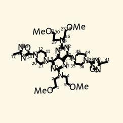 COCCN(CCOC)c1nc(N2CCN(c3nc(C)no3)CC2)c2nc(N(CCOC)CCOC)nc(N3CCN(c4nc(C)no4)CC3)c2n1